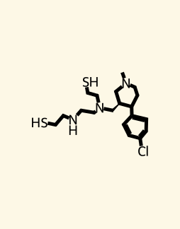 CN1CCC(c2ccc(Cl)cc2)[C@@H](CN(CCS)CCNCCS)C1